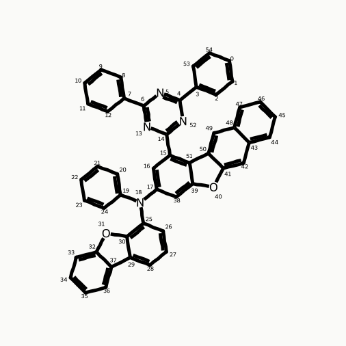 c1ccc(-c2nc(-c3ccccc3)nc(-c3cc(N(c4ccccc4)c4cccc5c4oc4ccccc45)cc4oc5cc6ccccc6cc5c34)n2)cc1